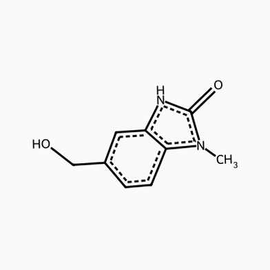 Cn1c(=O)[nH]c2cc(CO)ccc21